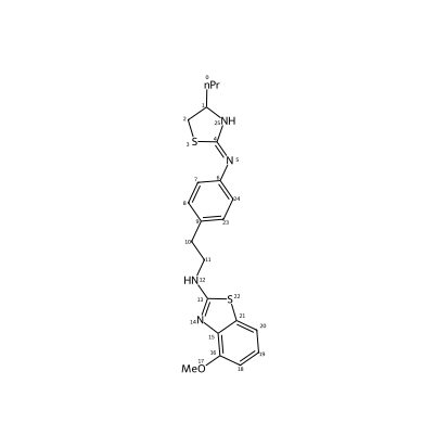 CCCC1CS/C(=N\c2ccc(CCNc3nc4c(OC)cccc4s3)cc2)N1